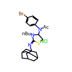 CCCCN1C(=NC23CC4CC(CC(C4)C2)C3)SCC1N(C(C)=O)c1ccc(Br)cc1.Cl